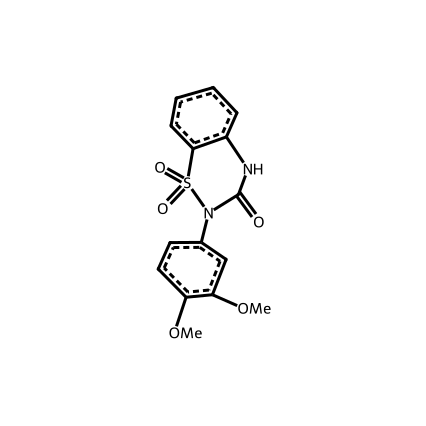 COc1ccc(N2C(=O)Nc3ccccc3S2(=O)=O)cc1OC